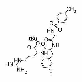 Cc1ccc(S(=O)(=O)NCC(=O)NC(Cc2cccc(F)c2)C(=O)NC(CCCNC(=N)N)C(=O)OC(C)(C)C)cc1